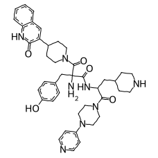 NC(Cc1ccc(O)cc1)(C(=O)NC(CC1CCNCC1)C(=O)N1CCN(c2ccncc2)CC1)C(=O)N1CCC(c2cc3ccccc3[nH]c2=O)CC1